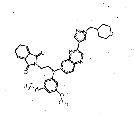 COc1cc(OC)cc(N(CCN2C(=O)C3=CCCC=C3C2=O)c2ccc3ncc(-c4cnn(CC5CCOCC5)c4)nc3c2)c1